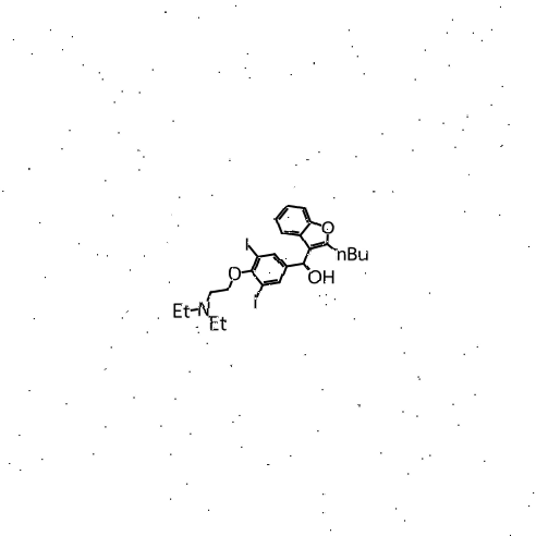 CCCCc1oc2ccccc2c1C(O)c1cc(I)c(OCCN(CC)CC)c(I)c1